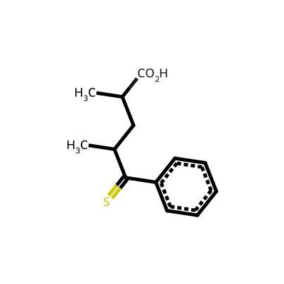 CC(CC(C)C(=S)c1ccccc1)C(=O)O